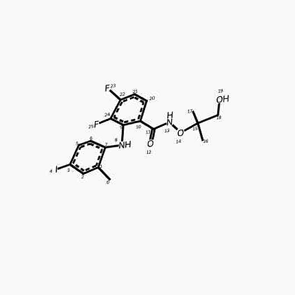 Cc1cc(I)ccc1Nc1c(C(=O)NOC(C)(C)CO)ccc(F)c1F